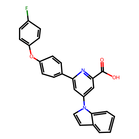 O=C(O)c1cc(-n2ccc3ccccc32)cc(-c2ccc(Oc3ccc(F)cc3)cc2)n1